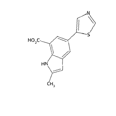 Cc1cc2cc(-c3cncs3)cc(C(=O)O)c2[nH]1